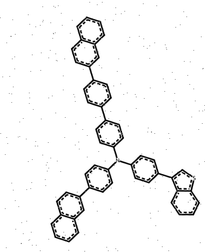 c1ccc2cc(-c3ccc(-c4ccc(N(c5ccc(-c6ccc7ccccc7c6)cc5)c5ccc(-c6csc7ccccc67)cc5)cc4)cc3)ccc2c1